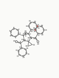 O=C(c1ccccc1)N(C(=O)c1ccccc1)C1(N(C(=O)c2ccccc2)C(=O)c2ccccc2)CC1